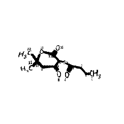 CCCC(=O)SC1C(=O)CC(C)(C)OC1=O